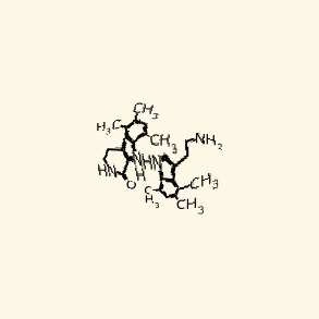 Cc1cc(C)c2[nH]c3c(c2c1C)CCNC3=O.Cc1cc(C)c2[nH]cc(CCN)c2c1C